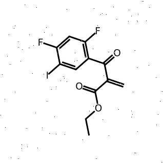 C=C(C(=O)OCC)C(=O)c1cc(I)c(F)cc1F